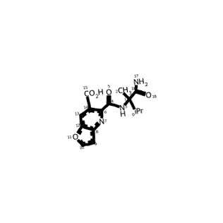 CC(C)C(C)(NC(=O)c1nc2ccoc2cc1C(=O)O)C(N)=O